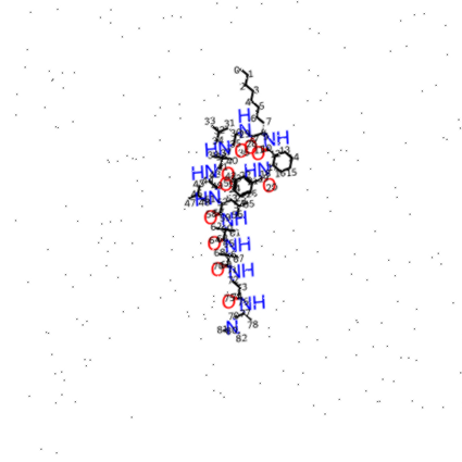 CCCCCCCC[C@H](NC(=O)[C@H]1CCCC[C@H]1NC(=O)c1ccccc1)C(=O)N[C@@H](CC(C)C)C(=O)NC(C)(C)C(=O)N[C@@H](CC(C)C)C(=O)N[C@@H](CC(C)C)C(=O)NC(C)(C)C(=O)NC(C)(C)C(=O)NCCC(=O)N[C@@H](C)CN(C)C